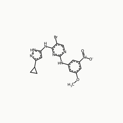 COc1cc(Nc2ncc(Br)c(Nc3cc(C4CC4)n[nH]3)n2)cc([N+](=O)[O-])c1